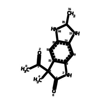 CC(=O)C1(C)C(=O)Nc2cc3c(cc21)NC(C)N3